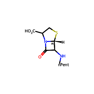 CCCCCNC1C(=O)N2C(C(=O)O)CS[C@H]12